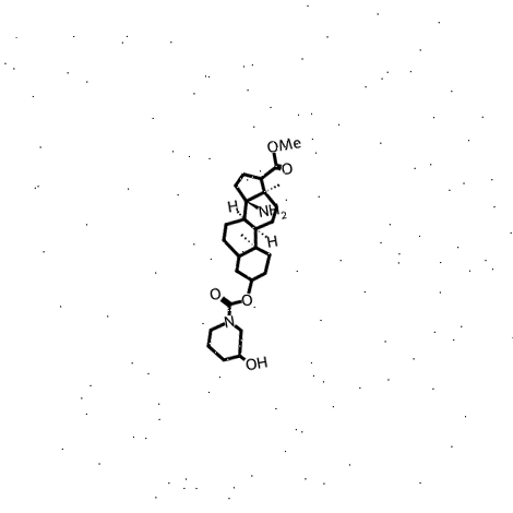 COC(=O)C1CC[C@@]2(N)[C@@H]3CCC4CC(OC(=O)N5CCCC(O)C5)CC[C@]4(C)[C@@H]3CC[C@]12C